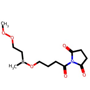 COOCCB(C)OCCCC(=O)N1C(=O)CCC1=O